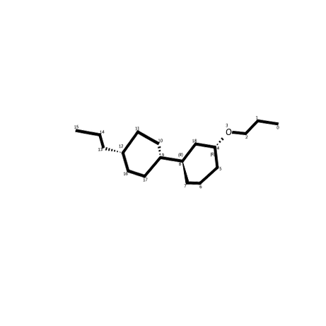 CCCO[C@@H]1CCC[C@@H]([C@H]2CC[C@@H](CCC)CC2)C1